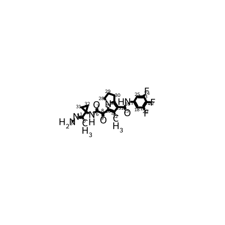 C/C(=N\N)C1(NC(=O)C(=O)c2c(C)c(C(=O)Nc3cc(F)c(F)c(F)c3)c3n2CCC3)CC1